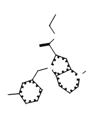 CCOC(=O)c1cc2c(ccc[n+]2[O-])n1Cc1cccc(Cl)c1